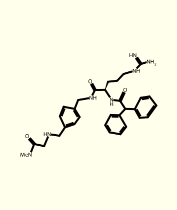 CNC(=O)CNCc1ccc(CNC(=O)[C@@H](CCCNC(=N)N)NC(=O)C(c2ccccc2)c2ccccc2)cc1